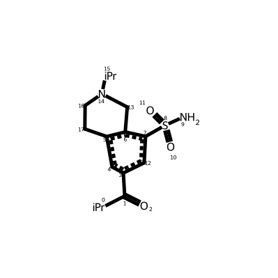 CC(C)C(=O)c1cc2c(c(S(N)(=O)=O)c1)CN(C(C)C)CC2